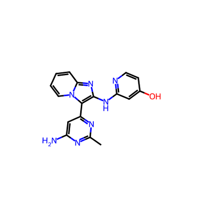 Cc1nc(N)cc(-c2c(Nc3cc(O)ccn3)nc3ccccn23)n1